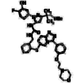 CSCC(C)(C)c1cc(NC(=O)NCc2ccccc2Sc2ccc3nnc(-c4cccc(OCCN5CCOCC5)c4)n3c2)n(-c2ccc(F)c(O)c2)n1